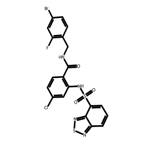 O=C(NCc1ccc(Br)cc1F)c1ccc(Cl)cc1NS(=O)(=O)c1cccc2nsnc12